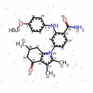 CCCCOc1ccc(Nc2cc(-n3c(C)c(C)c4c3CC(C)CC4=O)ccc2C(N)=O)cc1